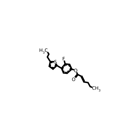 CCC/C=C/C(=O)Oc1ccc(-c2ccc(CCC)s2)c(F)c1